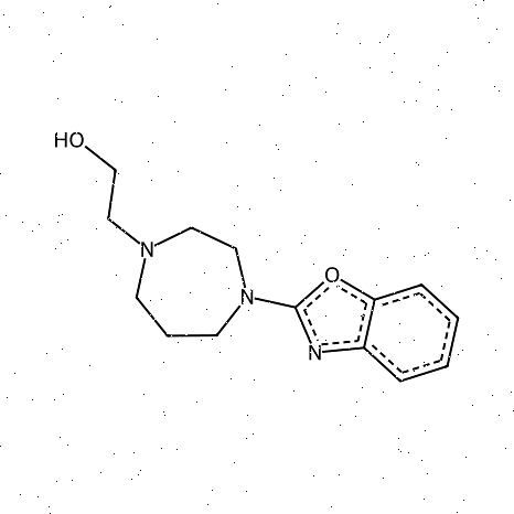 OCCN1CCCN(c2nc3ccccc3o2)CC1